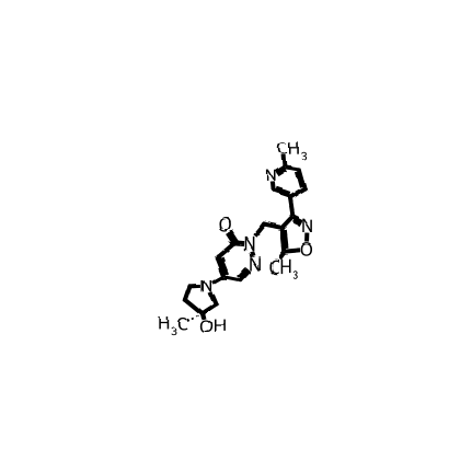 Cc1ccc(-c2noc(C)c2Cn2ncc(N3CC[C@](C)(O)C3)cc2=O)cn1